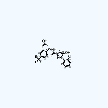 O=C(O)C[C@H](NC(=O)c1cc(O)n(-c2ccccc2Cl)n1)c1ccc(C(F)(F)F)cc1